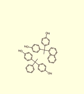 CC(c1ccc(O)cc1)(c1ccc(O)cc1)c1cccc2ccccc12.CC(c1ccccc1)(c1ccc(O)cc1)c1ccc(O)cc1